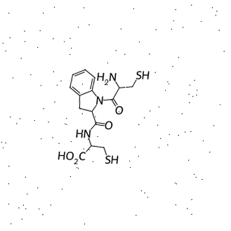 NC(CS)C(=O)N1c2ccccc2CC1C(=O)NC(CS)C(=O)O